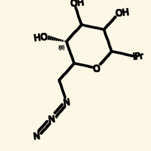 CC(C)C1OC(CN=[N+]=[N-])[C@H](O)C(O)C1O